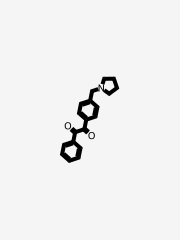 O=C(C(=O)c1ccc(CN2CCCC2)cc1)c1ccccc1